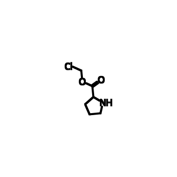 O=C(OCCl)C1CCCN1